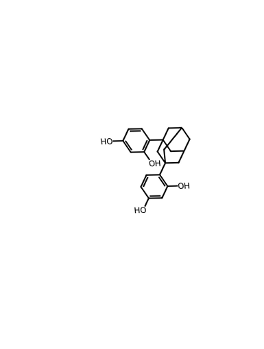 Oc1ccc(C23CC4CC(C2)CC(c2ccc(O)cc2O)(C4)C3)c(O)c1